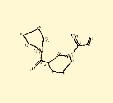 C=CC(=O)N1CCC[C@@H](C(=O)N2CCCC2)C1